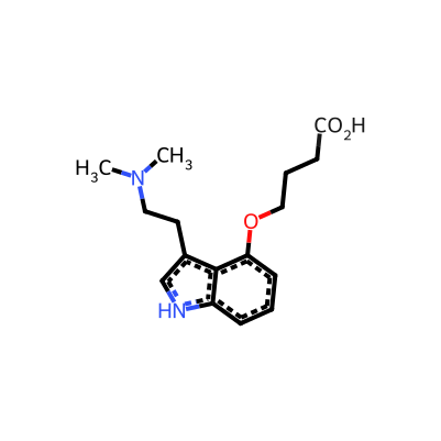 CN(C)CCc1c[nH]c2cccc(OCCCC(=O)O)c12